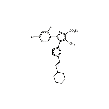 CCOC(=O)c1nn(-c2ccc(Cl)cc2Cl)c(-c2ccc(/C=C/C3CCCCC3)s2)c1C